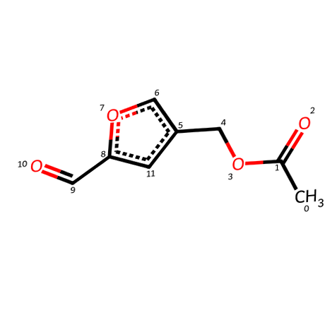 CC(=O)OCc1coc(C=O)c1